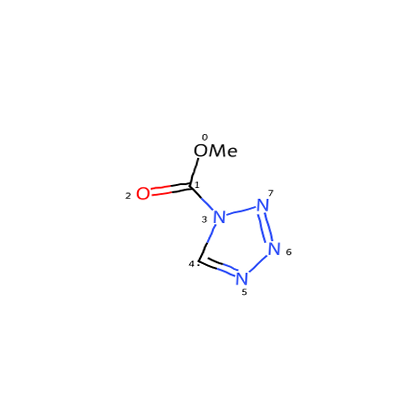 COC(=O)n1[c]nnn1